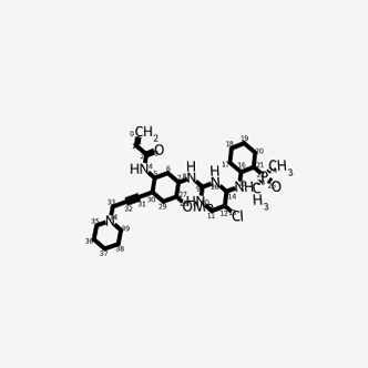 C=CC(=O)NC1CC(NC2NCC(Cl)C(NC3CCCCC3P(C)(C)=O)N2)C(OC)CC1C#CCN1CCCCC1